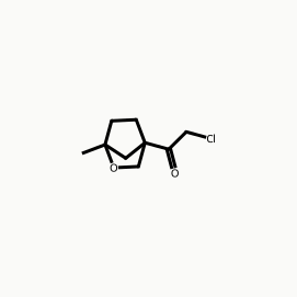 CC12CCC(C(=O)CCl)(CO1)C2